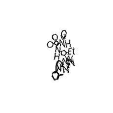 CC[C@@H]1C[C@H](Nc2c(NC3COC3)c(=O)c2=O)C[C@@H]1c1nnc2cnc3c(ccn3-c3ccccc3C)n12